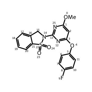 COc1cc(Oc2ccc(F)cc2)nc(N2Cc3ccccc3S2(=O)=O)n1